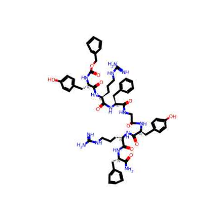 N=C(N)NCCC[C@H](NC(=O)[C@H](Cc1ccc(O)cc1)NC(=O)CNC(=O)[C@H](Cc1ccccc1)NC(=O)[C@H](CCCNC(=N)N)NC(=O)[C@H](Cc1ccc(O)cc1)NC(=O)OCc1ccccc1)C(=O)N[C@@H](Cc1ccccc1)C(N)=O